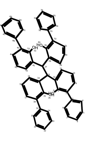 Oc1c(-c2ccccc2)cccc1C(c1cccc(-c2ccccc2)c1O)C(c1cccc(-c2ccccc2)c1O)c1cccc(-c2ccccc2)c1O